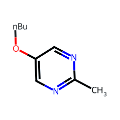 CCCCOc1cnc(C)nc1